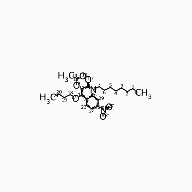 CCCCCCCCn1c(=O)c(OC(C)=O)c(OCCCC)c2ccc([N+](=O)[O-])cc21